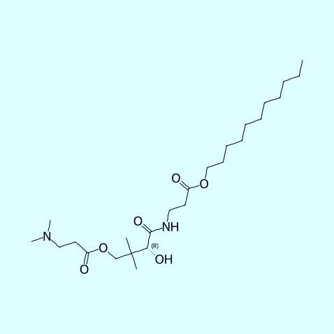 CCCCCCCCCCCOC(=O)CCNC(=O)[C@H](O)C(C)(C)COC(=O)CCN(C)C